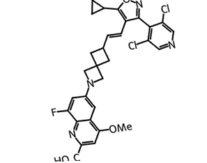 COc1cc(C(=O)O)nc2c(F)cc(N3CC4(CC(C=Cc5c(-c6c(Cl)cncc6Cl)noc5C5CC5)C4)C3)cc12